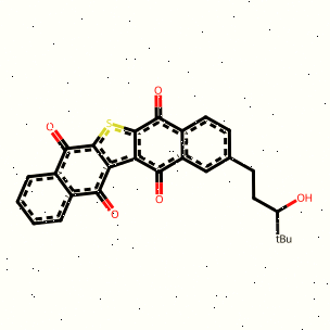 CC(C)(C)C(O)CCc1ccc2c(=O)c3sc4c(=O)c5ccccc5c(=O)c4c3c(=O)c2c1